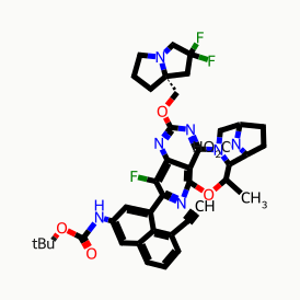 C#Cc1cccc2cc(NC(=O)OC(C)(C)C)cc(-c3nc4c5c(nc(OC[C@]67CCCN6CC(F)(F)C7)nc5c3F)N3CC5CCC(C3C(C)O4)N5C(=O)O)c12